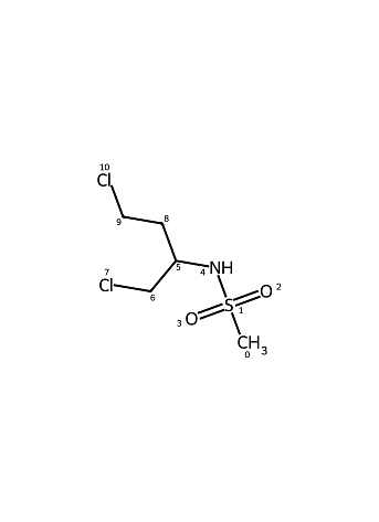 CS(=O)(=O)NC(CCl)CCCl